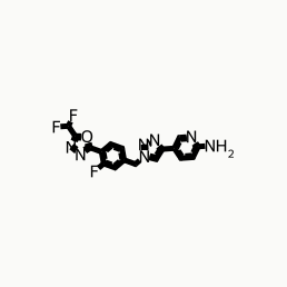 Nc1ccc(-c2cn(Cc3ccc(-c4nnc(C(F)F)o4)c(F)c3)nn2)cn1